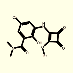 CCOc1c(Nc2cc(Cl)cc(C(=O)N(C)C)c2O)c(=O)c1=O